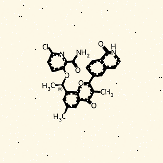 Cc1cc([C@@H](C)Oc2ccc(Cl)nc2C(N)=O)c2oc(-c3ccc4c(=O)[nH]ccc4c3)c(C)c(=O)c2c1